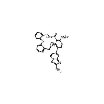 CNc1ncc(-c2ccn3nc(N)nc3c2)cc1C(=O)NCc1ccccc1Sc1ccccc1CO